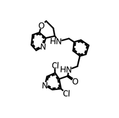 O=C(NCc1cccc(CNC2CCOc3cccnc32)c1)c1c(Cl)cncc1Cl